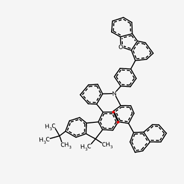 CC(C)(C)c1ccc2c(c1)C(C)(C)c1cccc(-c3ccccc3N(c3ccc(-c4cccc5ccccc45)cc3)c3ccc(-c4cccc5c4oc4ccccc45)cc3)c1-2